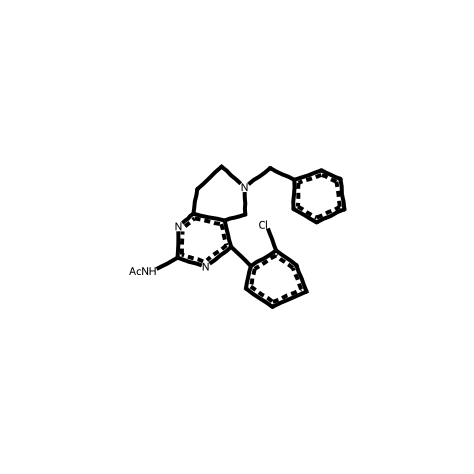 CC(=O)Nc1nc2c(c(-c3ccccc3Cl)n1)CN(Cc1ccccc1)CC2